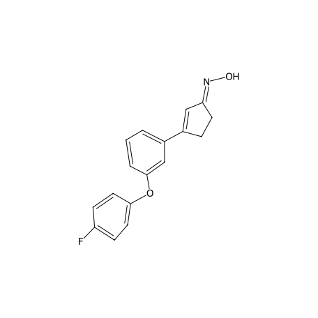 O/N=C1/C=C(c2cccc(Oc3ccc(F)cc3)c2)CC1